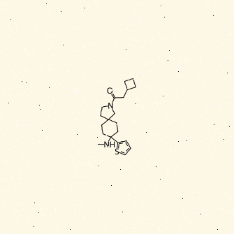 CNC1(c2cccs2)CCC2(CCN(C(=O)CC3CCC3)C2)CC1